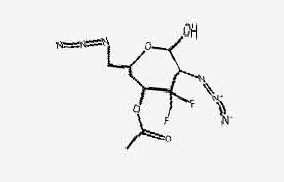 CC(=O)OC1C(CN=[N+]=[N-])OC(O)C(N=[N+]=[N-])C1(F)F